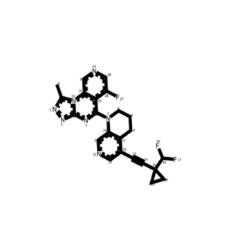 Cc1nnc2nc(N3CCCc4c(C#CC5(C(F)F)CC5)cncc43)c3c(F)cncc3n12